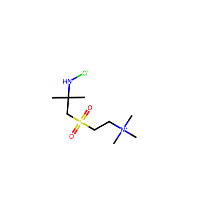 CC(C)(CS(=O)(=O)CC[N+](C)(C)C)NCl